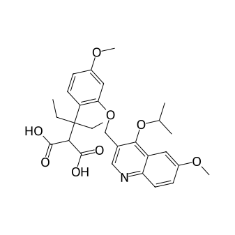 CCC(CC)(c1ccc(OC)cc1OCc1cnc2ccc(OC)cc2c1OC(C)C)C(C(=O)O)C(=O)O